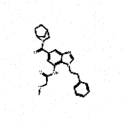 COCC(=O)Nc1cc(C(=O)N2CC3CCC2C3)cc2ncn(CCc3ccccc3)c12